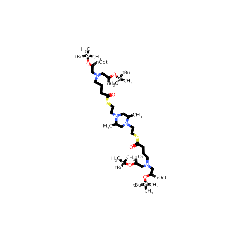 CCCCCCCCC(CN(CCCC(=O)SCCN1CC(C)N(CCSC(=O)CCCN(CC(CCCCCCCC)O[Si](C)(C)C(C)(C)C)CC(CCCCCCCC)O[Si](C)(C)C(C)(C)C)CC1C)CC(CCCCCCCC)O[Si](C)(C)C(C)(C)C)O[Si](C)(C)C(C)(C)C